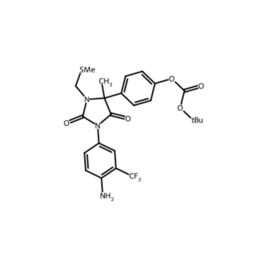 CSCN1C(=O)N(c2ccc(N)c(C(F)(F)F)c2)C(=O)C1(C)c1ccc(OC(=O)OC(C)(C)C)cc1